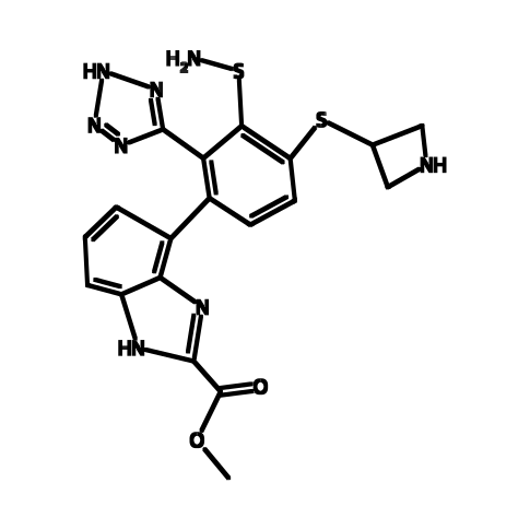 COC(=O)c1nc2c(-c3ccc(SC4CNC4)c(SN)c3-c3nn[nH]n3)cccc2[nH]1